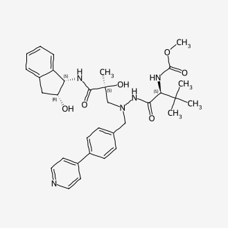 COC(=O)N[C@H](C(=O)NN(Cc1ccc(-c2ccncc2)cc1)C[C@](C)(O)C(=O)N[C@H]1c2ccccc2C[C@H]1O)C(C)(C)C